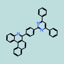 c1ccc(-c2cc(-c3ccccc3)nc(-c3ccc(-c4nc5ccccc5c5c4ccc4ccccc45)cc3)n2)cc1